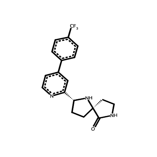 O=C1NCC[C@@]12CC[C@H](c1cc(-c3ccc(C(F)(F)F)cc3)ccn1)N2